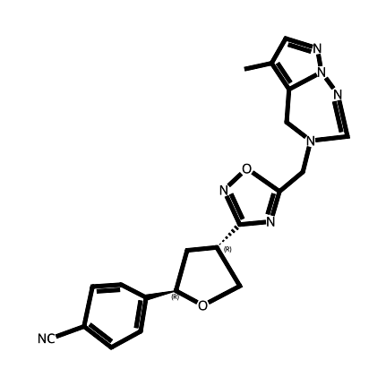 Cc1cnn2c1CN(Cc1nc([C@@H]3CO[C@@H](c4ccc(C#N)cc4)C3)no1)C=N2